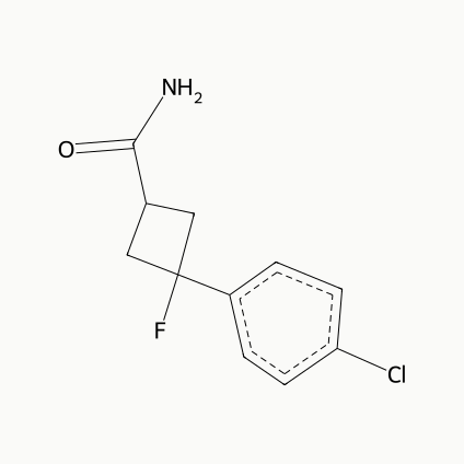 NC(=O)C1CC(F)(c2ccc(Cl)cc2)C1